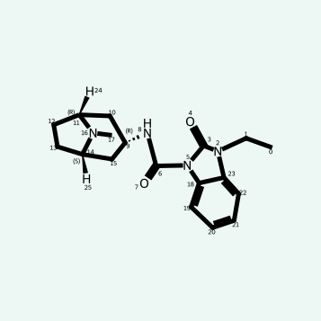 CCn1c(=O)n(C(=O)N[C@H]2C[C@H]3CC[C@@H](C2)N3C)c2ccccc21